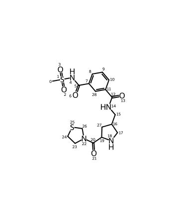 CS(=O)(=O)NC(=O)c1cccc(C(=O)NCC2CNC(C(=O)N3CCSC3)C2)c1